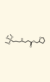 CO[Si](CCCNCCC(=O)OCC1CCCO1)(OC)OC